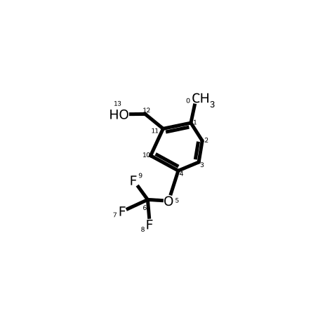 Cc1ccc(OC(F)(F)F)cc1CO